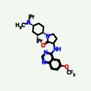 CC(C)[C@@H]1C[C@H](N(C)C(C)C)CC[C@@H]1N1CCC(Nc2ncnc3ccc(OC(F)(F)F)cc23)C1=O